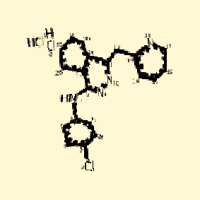 Cl.Cl.Clc1ccc(Nc2nnc(Cc3ccccn3)c3ccccc23)cc1